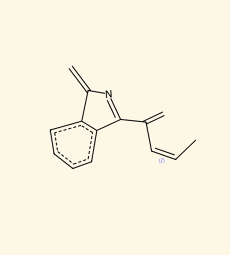 C=C(/C=C\C)C1=NC(=C)c2ccccc21